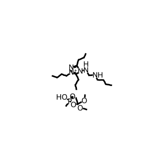 CCCCNCNn1c(CCC)n[n+](CCCC)c1CCC.COC(C)(OC)OP(C)(=O)O